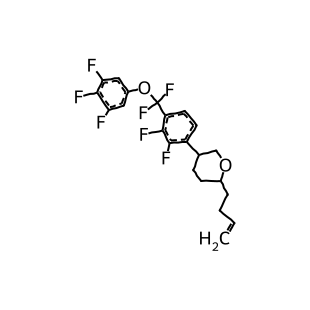 C=CCCC1CCC(c2ccc(C(F)(F)Oc3cc(F)c(F)c(F)c3)c(F)c2F)CO1